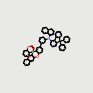 c1ccc(C2(c3ccccc3)c3ccccc3-c3c(N(c4cccc(-c5ccc6c(c5)[Si]5(c7ccccc7Oc7ccccc75)c5cc7ccccc7cc5O6)c4)c4cccc5ccccc45)cccc32)cc1